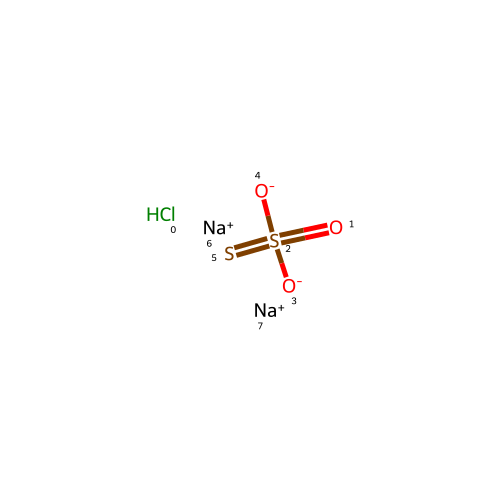 Cl.O=S([O-])([O-])=S.[Na+].[Na+]